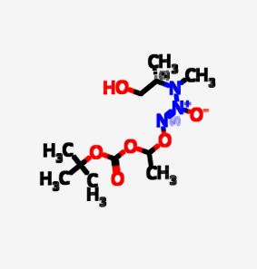 CC(O/N=[N+](\[O-])N(C)[C@@H](C)CO)OC(=O)OC(C)(C)C